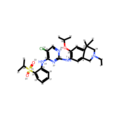 CCN1Cc2cc(Nc3ncc(Cl)c(Nc4ccccc4S(=O)(=O)C(C)C)n3)c(OC(C)C)cc2C(C)(C)C1